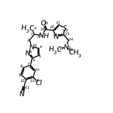 CC(Cn1ccc(-c2ccc(C#N)c(Cl)c2)n1)NC(=O)c1csc(CN(C)C)n1